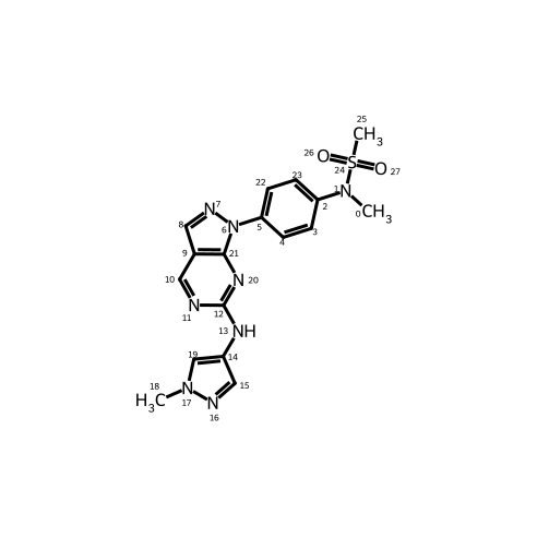 CN(c1ccc(-n2ncc3cnc(Nc4cnn(C)c4)nc32)cc1)S(C)(=O)=O